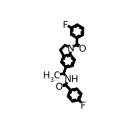 CC(NC(=O)c1ccc(F)cc1)c1ccc2c(c1)CCN2C(=O)c1cccc(F)c1